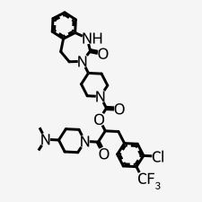 CN(C)C1CCN(C(=O)C(Cc2ccc(C(F)(F)F)c(Cl)c2)OC(=O)N2CCC(N3CCc4ccccc4NC3=O)CC2)CC1